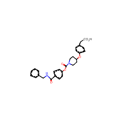 O=C(O)Cc1ccc(OC2CCN(C(=O)Oc3ccc(C(=O)NCc4ccccc4)cc3)CC2)cc1